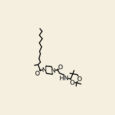 CCCCCCCCCCC(C)C(=O)N1CCN(C(=O)CCNC2OC(C)(C)OCC2(C)C)CC1